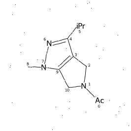 CC(=O)N1Cc2c(C(C)C)nn(C)c2C1